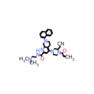 C=CC(=O)N1CCN(c2cc(C(=O)NCCN(C)C)nc3c2CCN(c2cccc4ccccc24)C3)CC1CC#N